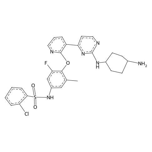 Cc1cc(NS(=O)(=O)c2ccccc2Cl)cc(F)c1Oc1ncccc1-c1ccnc(NC2CCC(N)CC2)n1